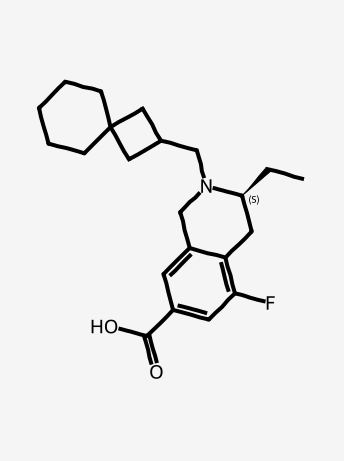 CC[C@H]1Cc2c(F)cc(C(=O)O)cc2CN1CC1CC2(CCCCC2)C1